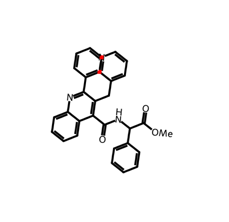 COC(=O)C(NC(=O)c1c(Cc2cccnc2)c(-c2ccccc2)nc2ccccc12)c1ccccc1